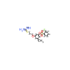 Cc1cc(OCCCSC(=N)N)cc(OS(=O)(=O)c2ccccc2F)c1